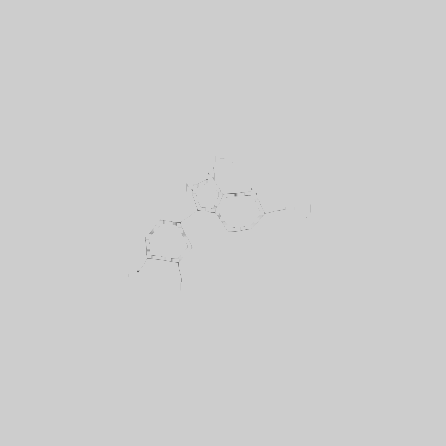 CC(C)(C)n1nc(-c2ccc(Cl)c(F)c2)c2ccc(C(=O)O)nc21